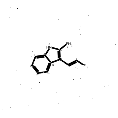 FC=Cc1c(P)[nH]c2ccccc12